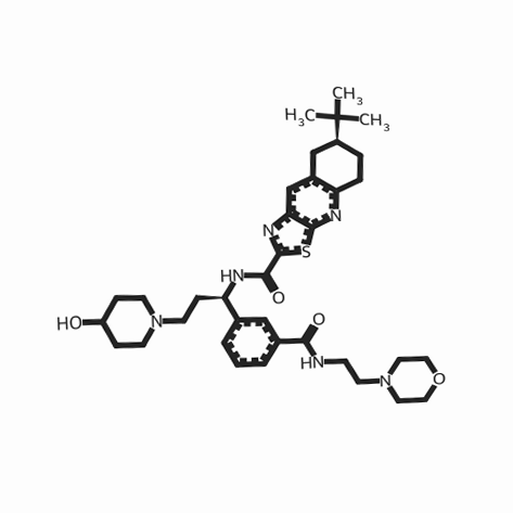 CC(C)(C)[C@H]1CCc2nc3sc(C(=O)N[C@H](CCN4CCC(O)CC4)c4cccc(C(=O)NCCN5CCOCC5)c4)nc3cc2C1